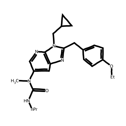 CCCNC(=O)N(C)c1cnc2c(c1)nc(Cc1ccc(OCC)cc1)n2CC1CC1